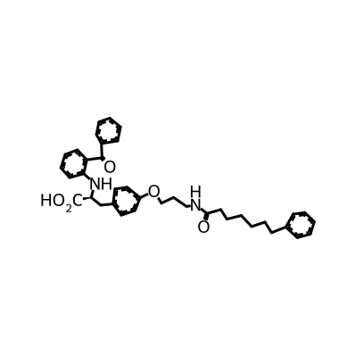 O=C(CCCCCCc1ccccc1)NCCCOc1ccc(C[C@H](Nc2ccccc2C(=O)c2ccccc2)C(=O)O)cc1